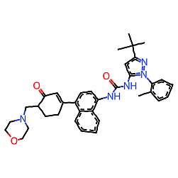 Cc1ccccc1-n1nc(C(C)(C)C)cc1NC(=O)Nc1ccc(C2=CC(=O)C(CN3CCOCC3)CC2)c2ccccc12